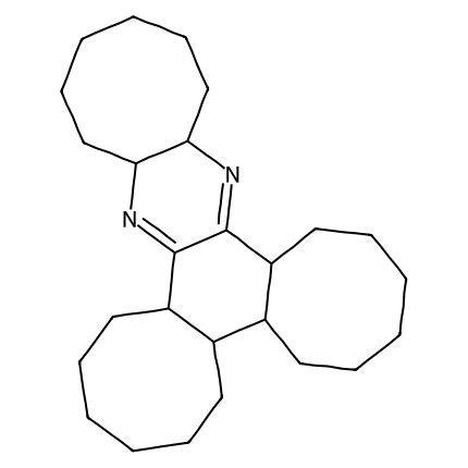 C1CCCC2N=C3C(=NC2CC1)C1CCCCCCC1C1CCCCCCC31